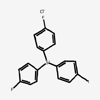 Fc1ccc([S+](c2ccc(F)cc2)c2ccc(I)cc2)cc1.[Cl-]